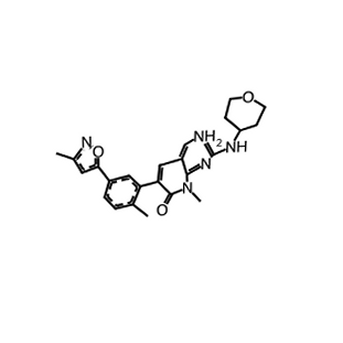 C=C(/N=C1\C(=C/N)C=C(c2cc(-c3cc(C)no3)ccc2C)C(=O)N1C)NC1CCOCC1